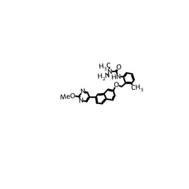 COc1ncc(-c2ccc3ccc(OCc4c(C)cccc4NC(=O)N(C)N)cc3c2)cn1